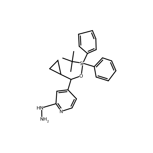 CC(C)(C)[Si](OC(c1ccnc(NN)c1)C1CC1)(c1ccccc1)c1ccccc1